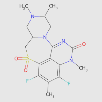 Cc1c(F)c2c3c(nc(=O)n(C)c3c1F)N1CC(C)N(C)CC1CS2(=O)=O